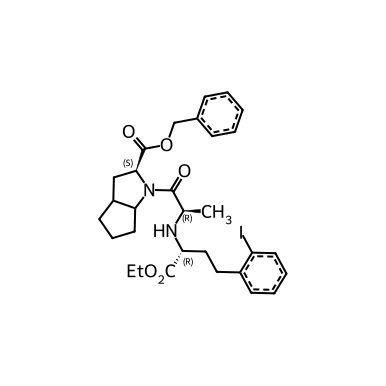 CCOC(=O)[C@@H](CCc1ccccc1I)N[C@H](C)C(=O)N1C2CCCC2C[C@H]1C(=O)OCc1ccccc1